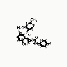 Cc1ncc(OC[C@@]2(C3C=C(F)C=CC3O)C[C@H]2C(=O)Nc2ccc(F)cn2)c(C)n1